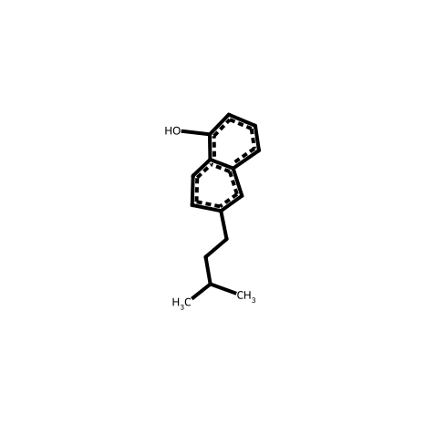 CC(C)CCc1ccc2c(O)cccc2c1